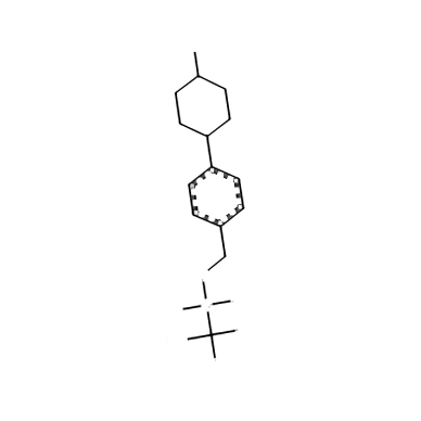 CC(C)(C)[Si](C)(C)OCc1ccc(C2CCC(O)CC2)cc1